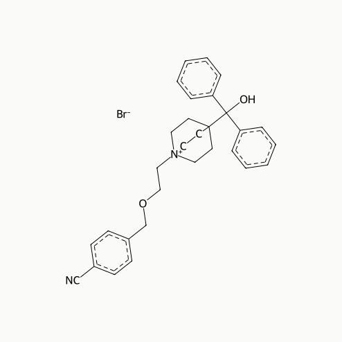 N#Cc1ccc(COCC[N+]23CCC(C(O)(c4ccccc4)c4ccccc4)(CC2)CC3)cc1.[Br-]